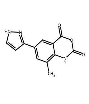 Cc1cc(-c2cc[nH]n2)cc2c(=O)oc(=O)[nH]c12